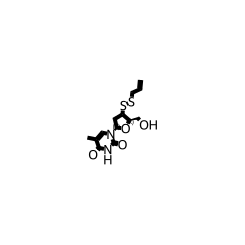 C=CCSSC1C[C@H](n2cc(C)c(=O)[nH]c2=O)O[C@@H]1CO